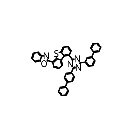 c1ccc(-c2ccc(-c3nc(-c4cccc(-c5ccccc5)c4)nc(-c4cccc5sc6c(-c7nc8ccccc8o7)cccc6c45)n3)cc2)cc1